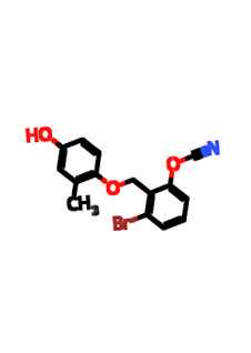 Cc1cc(O)ccc1OCc1c(Br)cccc1OC#N